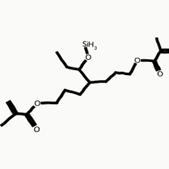 C=C(C)C(=O)OCCCC(CCCOC(=O)C(=C)C)C(CC)O[SiH3]